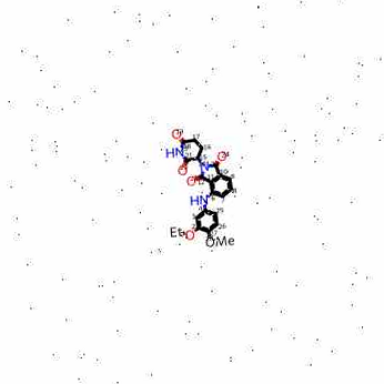 CCOc1cc(Nc2cccc3c2C(=O)N(C2CCC(=O)NC2=O)C3=O)ccc1OC